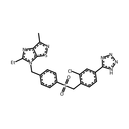 CCc1nc2c(C)nsc2n1Cc1ccc(S(=O)(=O)Cc2ccc(-c3nnn[nH]3)cc2Cl)cc1